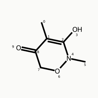 CC1=C(O)N(C)OCC1=O